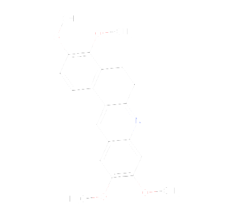 COc1cc2cc3c(nc2cc1OC)CCc1c-3ccc(OC)c1OC